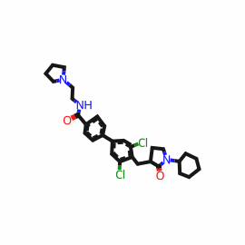 O=C(NCCN1CCCC1)c1ccc(-c2cc(Cl)c(CC3CCN(C4CCCCC4)C3=O)c(Cl)c2)cc1